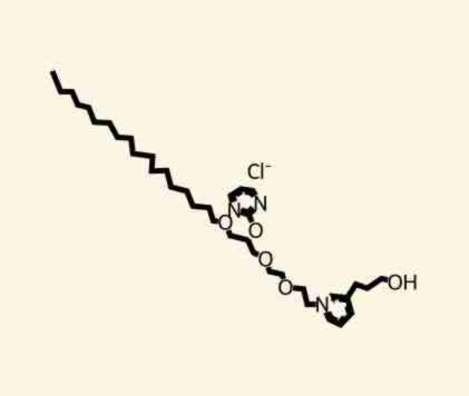 CCCCCCCCCCCCCCCCCCOCC(COCCOCC[n+]1cccc(CCCO)c1)Oc1ncccn1.[Cl-]